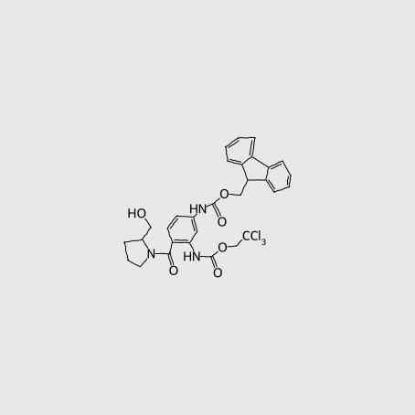 O=C(Nc1ccc(C(=O)N2CCCC2CO)c(NC(=O)OCC(Cl)(Cl)Cl)c1)OCC1c2ccccc2-c2ccccc21